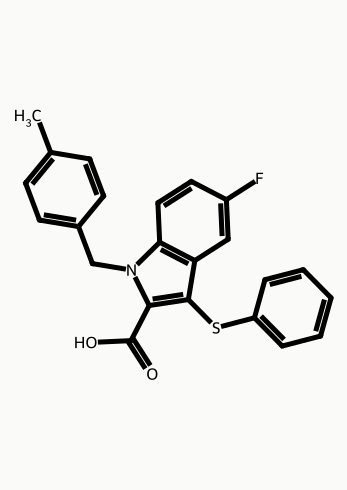 Cc1ccc(Cn2c(C(=O)O)c(Sc3ccccc3)c3cc(F)ccc32)cc1